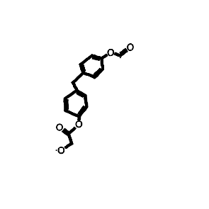 [O]CC(=O)Oc1ccc(Cc2ccc(O[C]=O)cc2)cc1